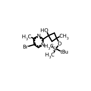 Cc1nc(C2(O)CC(C)(O[Si](C)(C)C(C)(C)C)C2)ncc1Br